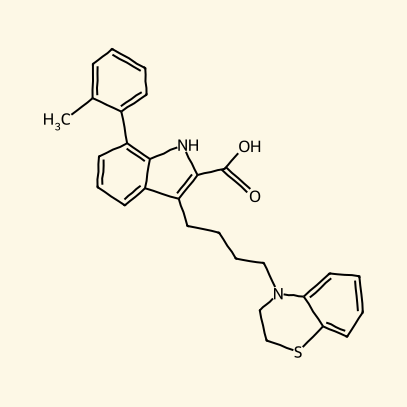 Cc1ccccc1-c1cccc2c(CCCCN3CCSc4ccccc43)c(C(=O)O)[nH]c12